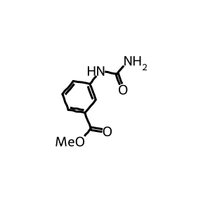 COC(=O)c1cccc(NC(N)=O)c1